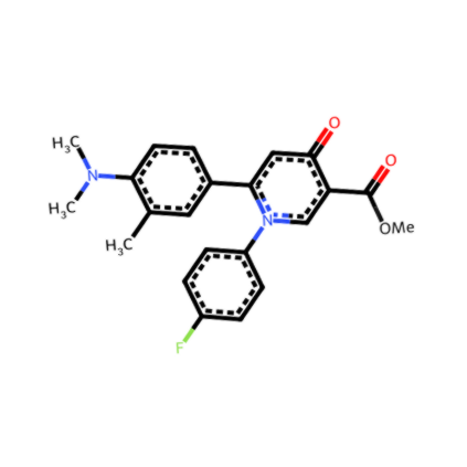 COC(=O)c1cn(-c2ccc(F)cc2)c(-c2ccc(N(C)C)c(C)c2)cc1=O